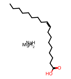 CCCCCCCC/C=C\CCCCCCCC(=O)O.[MgH2].[NaH]